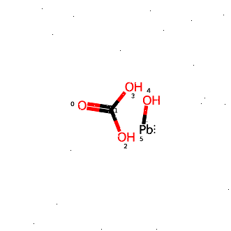 O=C(O)O.[OH][Pb]